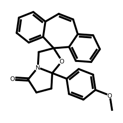 COc1ccc(C23CCC(=O)N2CC2(O3)c3ccccc3C=Cc3ccccc32)cc1